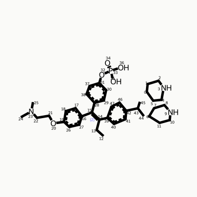 C1CCNCC1.C1CCNCC1.CC/C(=C(\c1ccc(OCCN(C)C)cc1)c1ccc(OP(=O)(O)O)cc1)c1ccc(C(C)C)cc1